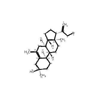 C=C(CBr)[C@H]1CC[C@H]2[C@@H]3CC(C)=C4C[C@](C)(O)CC[C@@H]4[C@H]3CC[C@]12C